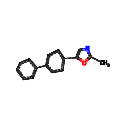 Cc1ncc(-c2ccc(-c3ccccc3)cc2)o1